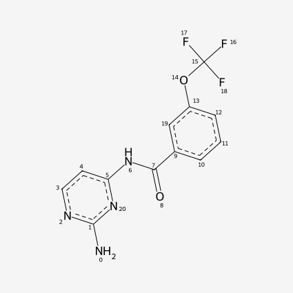 Nc1nccc(NC(=O)c2cccc(OC(F)(F)F)c2)n1